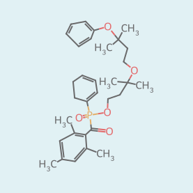 Cc1cc(C)c(C(=O)P(=O)(OCCC(C)(C)OCCC(C)(C)Oc2ccccc2)C2=CC=CCC2)c(C)c1